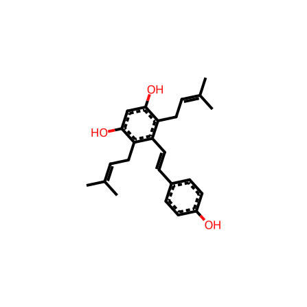 CC(C)=CCc1c(O)cc(O)c(CC=C(C)C)c1/C=C/c1ccc(O)cc1